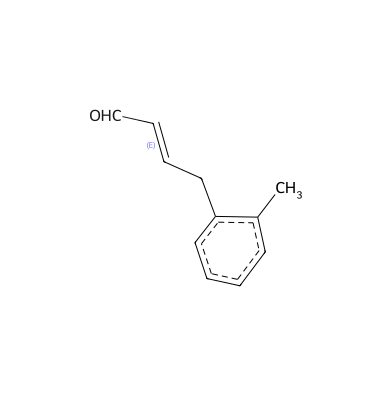 Cc1ccccc1C/C=C/C=O